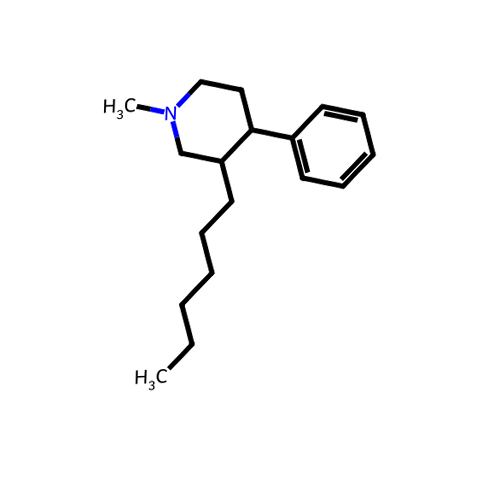 CCCCCCC1CN(C)CCC1c1ccccc1